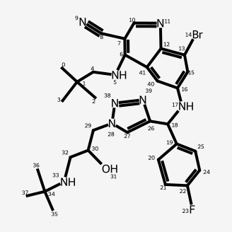 CC(C)(C)CNc1c(C#N)cnc2c(Br)cc(NC(c3ccc(F)cc3)c3cn(CC(O)CNC(C)(C)C)nn3)cc12